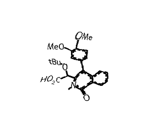 COc1ccc(-c2c(C(OC(C)(C)C)C(=O)O)n(C)c(=O)c3ccccc23)cc1OC